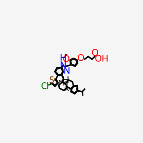 COc1cc(OCCCC(=O)O)ccc1-c1nc2c(C[C@@]3(C)CCC[C@]4(C)c5ccc(C(C)C)cc5CC[C@@H]34)c(-c3ccc(Cl)s3)ccc2[nH]1